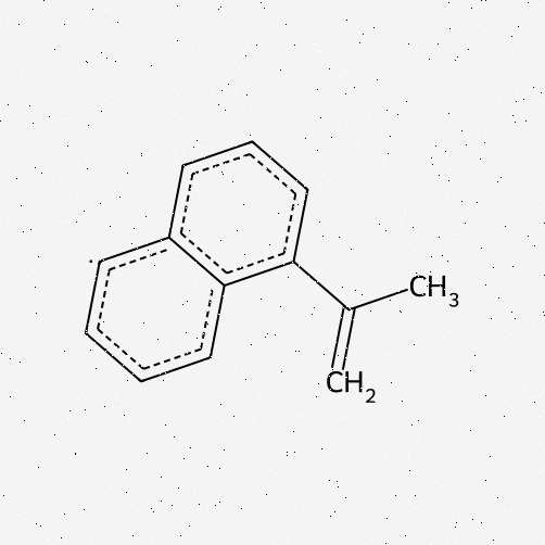 C=C(C)c1cccc2[c]cccc12